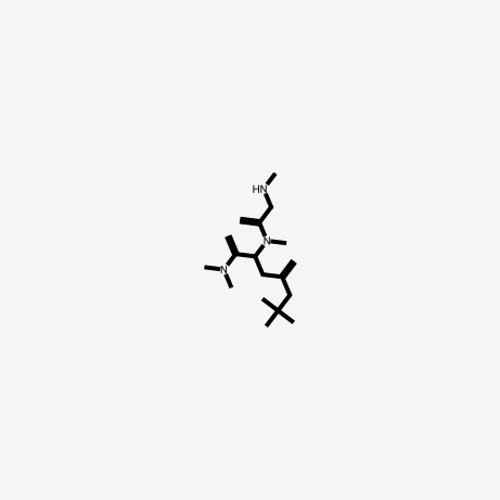 C=C(CC(C(=C)N(C)C)N(C)C(=C)CNC)CC(C)(C)C